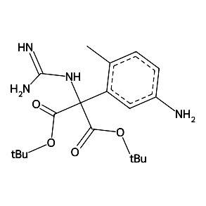 Cc1ccc(N)cc1C(NC(=N)N)(C(=O)OC(C)(C)C)C(=O)OC(C)(C)C